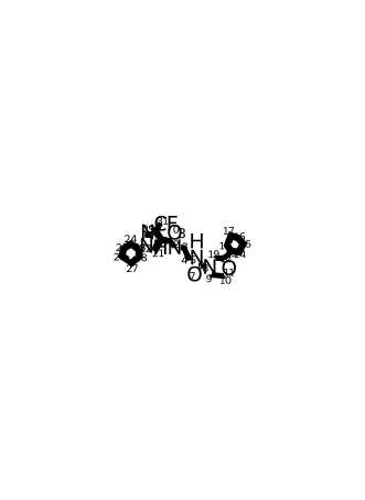 O=C(NCCNC(=O)N1CCOC(c2ccccc2)C1)c1cn(-c2ccccc2)nc1C(F)(F)F